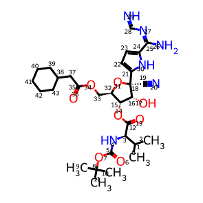 CC(C)[C@@H](NC(=O)OC(C)(C)C)C(=O)O[C@H]1[C@@H](O)[C@](C#N)(c2ccc(/C(N)=N\C=N)[nH]2)O[C@@H]1COC(=O)CC1CCCCC1